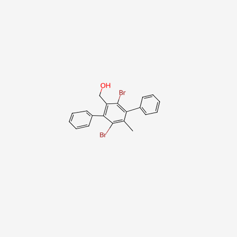 Cc1c(Br)c(-c2ccccc2)c(CO)c(Br)c1-c1ccccc1